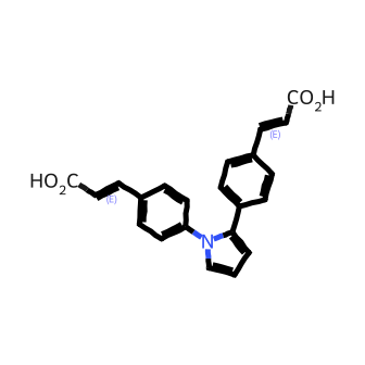 O=C(O)/C=C/c1ccc(-c2cccn2-c2ccc(/C=C/C(=O)O)cc2)cc1